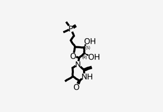 C=C1NC(=O)C(C)CN1C1OC(CCP(=C)(C)C)[C@@H](O)[C@H]1O